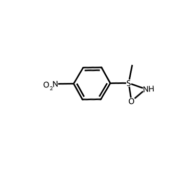 CS1(c2ccc([N+](=O)[O-])cc2)NO1